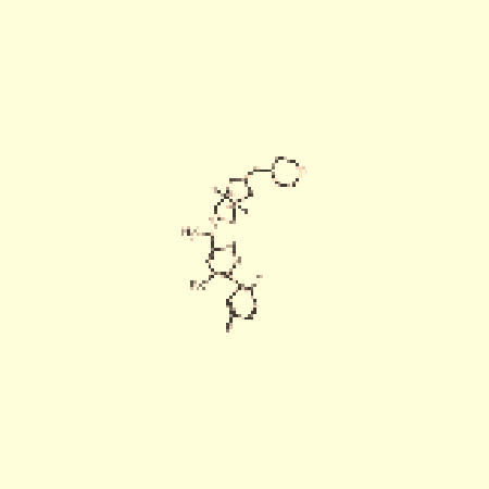 CN(c1cc(C(F)(F)F)c(-c2cc(F)ccc2Cl)nn1)[C@@H]1C[C@@H]2CN(CC3CCOCC3)C[C@@H]2C1